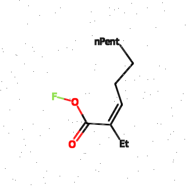 CCCCCCCC=C(CC)C(=O)OF